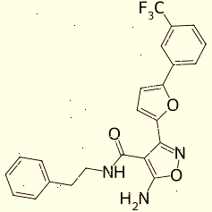 Nc1onc(-c2ccc(-c3cccc(C(F)(F)F)c3)o2)c1C(=O)NCCc1ccccc1